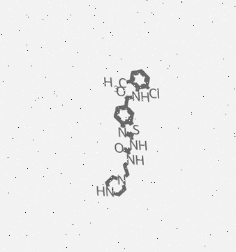 Cc1cccc(Cl)c1NC(=O)c1ccc2nc(NC(=O)NCCN3CCNCC3)sc2c1